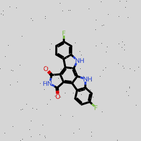 O=C1NC(=O)c2c1c1c3ccc(F)cc3[nH]c1c1[nH]c3cc(F)ccc3c21